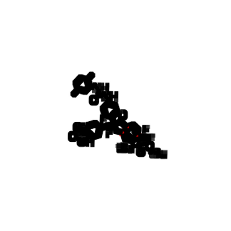 Cc1ccc(C)c(NC(=O)Nc2ccc(C(Cc3ccc(C(F)(F)P(=O)(OC(C)(C)C)OC(C)(C)C)cc3)(C(=O)c3ccc(F)cc3)C(F)(F)c3ccc(P(=O)(O)O)cc3)cc2)c1